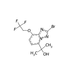 CC(C)(O)c1ccc(OCC(F)(F)F)c2nc(Br)nn12